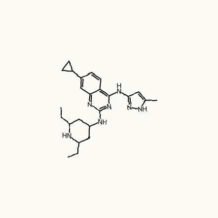 CCC1CC(Nc2nc(Nc3cc(C)[nH]n3)c3ccc(C4CC4)cc3n2)CC(CC)N1